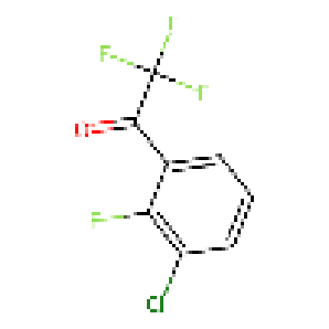 O=C(c1cccc(Cl)c1F)C(F)(F)F